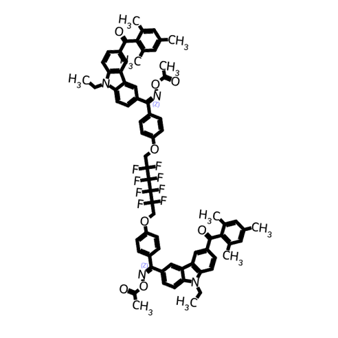 CCn1c2ccc(C(=O)c3c(C)cc(C)cc3C)cc2c2cc(/C(=N\OC(C)=O)c3ccc(OCC(F)(F)C(F)(F)C(F)(F)C(F)(F)COc4ccc(/C(=N/OC(C)=O)c5ccc6c(c5)c5cc(C(=O)c7c(C)cc(C)cc7C)ccc5n6CC)cc4)cc3)ccc21